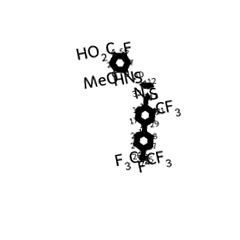 COc1cc(C(=O)O)c(F)cc1NSc1csc(-c2ccc(-c3ccc(C(F)(C(F)(F)F)C(F)(F)F)cc3)cc2C(F)(F)F)n1